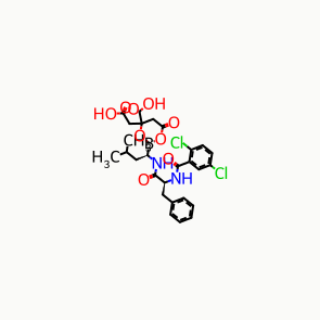 CC(C)C[C@H](NC(=O)[C@H](Cc1ccccc1)NC(=O)c1cc(Cl)ccc1Cl)B1OC(=O)CC(CC(=O)O)(C(=O)O)O1